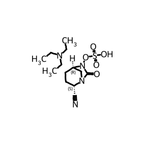 CCN(CC)CC.N#C[C@@H]1CC[C@@H]2CN1C(=O)N2OS(=O)(=O)O